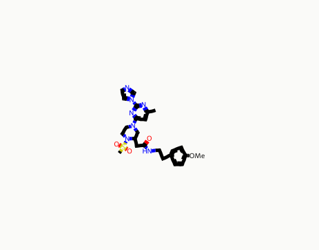 COc1ccc(CCNC(=O)CC2CN(c3cc(C)nc(-n4ccnc4)n3)CCN2S(C)(=O)=O)cc1